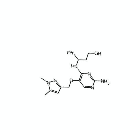 CCCC(CCO)Nc1nc(N)ncc1OCc1cc(C)n(C)n1